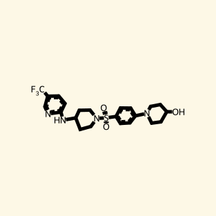 O=S(=O)(c1ccc(N2CCC(O)CC2)cc1)N1CCC(Nc2ccc(C(F)(F)F)cn2)CC1